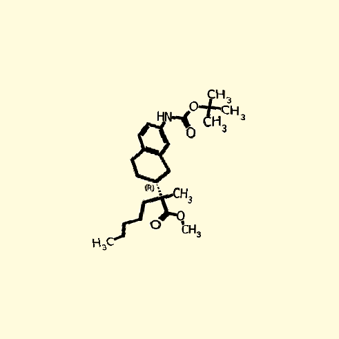 CCCCCC(C)(C(=O)OC)[C@@H]1CCc2ccc(NC(=O)OC(C)(C)C)cc2C1